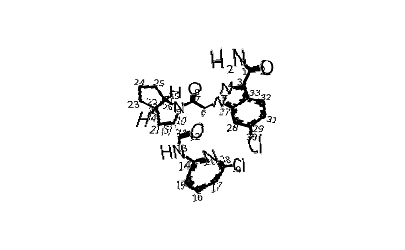 NC(=O)c1nn(CC(=O)N2[C@H](C(=O)Nc3cccc(Cl)n3)C[C@@H]3CCC[C@@H]32)c2cc(Cl)ccc12